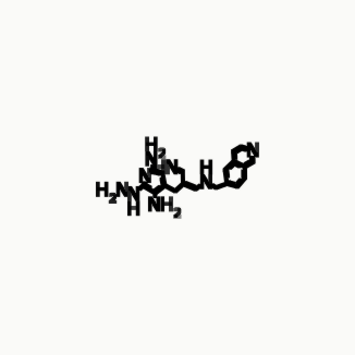 N=C/C(=C\NCc1ccc2cnccc2c1)Cc1cc(N)nc(NN)c1N